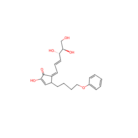 O=C1C(O)=CC(CCCCOc2ccccc2)/C1=C/C=C/[C@H](O)[C@H](O)CO